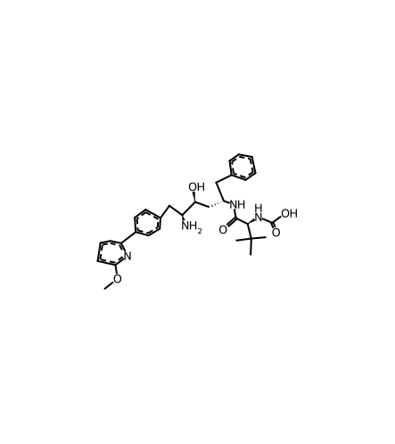 COc1cccc(-c2ccc(C[C@H](N)[C@@H](O)C[C@H](Cc3ccccc3)NC(=O)[C@@H](NC(=O)O)C(C)(C)C)cc2)n1